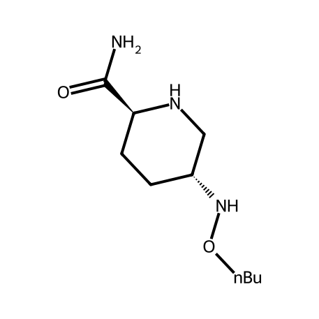 CCCCON[C@@H]1CC[C@@H](C(N)=O)NC1